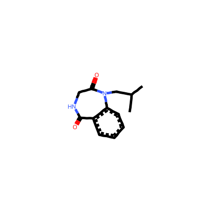 CC(C)CN1C(=O)CNC(=O)c2ccccc21